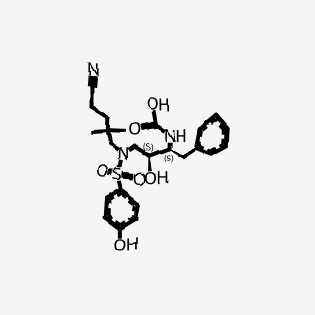 CC(C)(CCC#N)CN(C[C@H](O)[C@H](Cc1ccccc1)NC(=O)O)S(=O)(=O)c1ccc(O)cc1